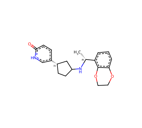 C[C@@H](NC1CC[C@H](c2ccc(=O)[nH]c2)C1)c1cccc2c1OCCO2